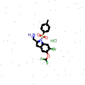 Cc1ccc(S(=O)(=O)n2c(CN)cc3cc(OC(F)F)c(Br)cc32)cc1.Cl